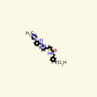 CN1CCN(c2cccc(Nc3nccc(-c4ccc(C(=O)NCc5cccc(C(=O)O)c5)s4)n3)c2)CC1